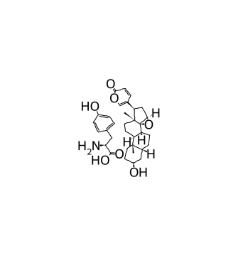 C[C@]12CC[C@H](O)C[C@H]1CC[C@@H]1[C@@H]2CC[C@]2(C)[C@@H](c3ccc(=O)oc3)C[C@H]3O[C@]132.N[C@@H](Cc1ccc(O)cc1)C(=O)O